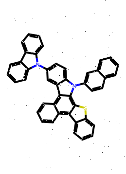 c1ccc2cc(-n3c4ccc(-n5c6ccccc6c6ccccc65)cc4c4c5ccccc5c5c6ccccc6sc5c43)ccc2c1